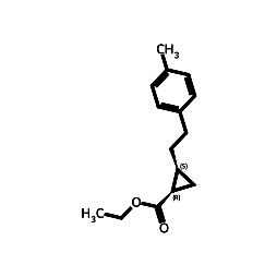 CCOC(=O)[C@@H]1C[C@@H]1CCc1ccc(C)cc1